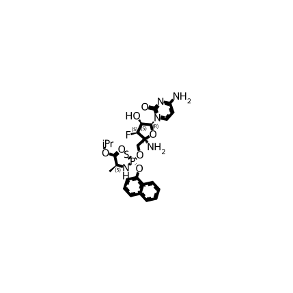 CC(C)OC(=O)[C@H](C)NP(=S)(OC[C@@]1(N)O[C@@H](n2ccc(N)nc2=O)[C@H](O)[C@@H]1F)Oc1cccc2ccccc12